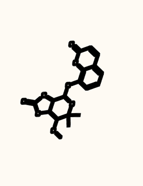 COC1C2OC(=O)OC2C(Oc2cccc3ccc(=O)oc23)OC1(C)C